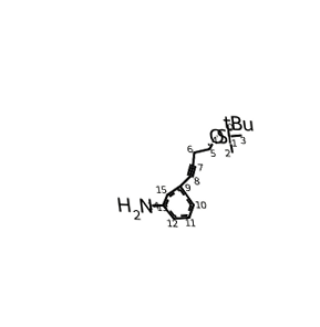 CC(C)(C)[Si](C)(C)O[CH]CC#Cc1cccc(N)c1